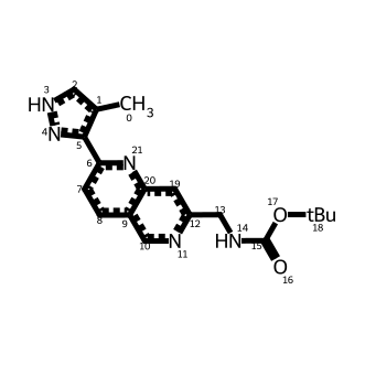 Cc1c[nH]nc1-c1ccc2cnc(CNC(=O)OC(C)(C)C)cc2n1